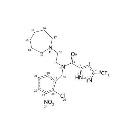 O=C(c1cc(C(F)(F)F)n[nH]1)N(CCN1CCCCCC1)Cc1cccc([N+](=O)[O-])c1Cl